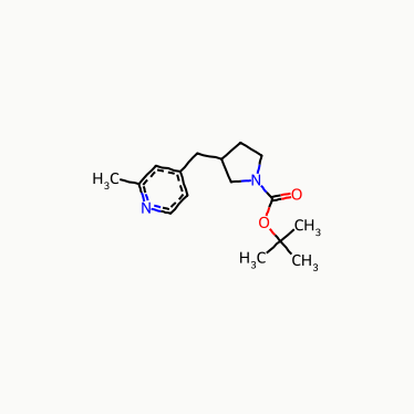 Cc1cc(CC2CCN(C(=O)OC(C)(C)C)C2)ccn1